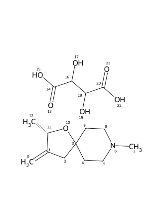 C=C1CC2(CCN(C)CC2)O[C@H]1C.O=C(O)C(O)C(O)C(=O)O